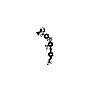 CNc1cc(S(=O)(=O)N[C@H]2CC[C@H](C(=O)N3CCOCC3C3CC3)CC2)ccc1C#Cc1ccc(CCC(=O)OC)cc1